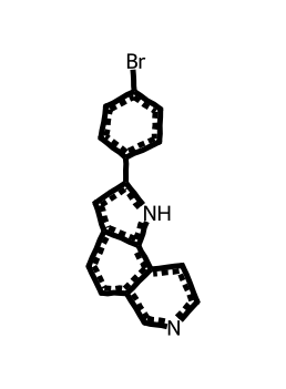 Brc1ccc(-c2cc3ccc4cnccc4c3[nH]2)cc1